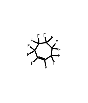 FC1=C(F)C(F)(F)C(F)(F)C(F)(F)C(F)(F)C1(F)F